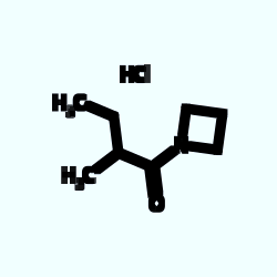 CCC(C)C(=O)N1CCC1.Cl